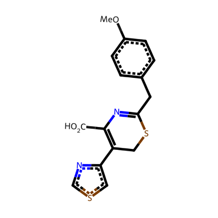 COc1ccc(CC2=NC(C(=O)O)=C(c3cscn3)CS2)cc1